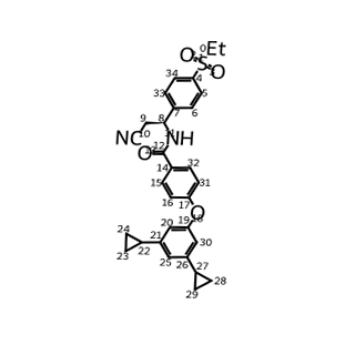 CCS(=O)(=O)c1ccc([C@H](CC#N)NC(=O)c2ccc(Oc3cc(C4CC4)cc(C4CC4)c3)cc2)cc1